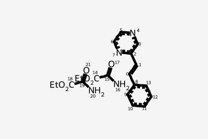 C(=Cc1cnccn1)c1ccccc1.CCOC(=O)C(N)=O.CCOC(=O)C(N)=O